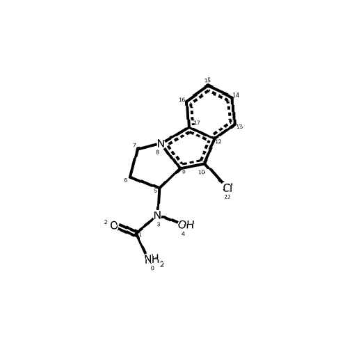 NC(=O)N(O)C1CCn2c1c(Cl)c1ccccc12